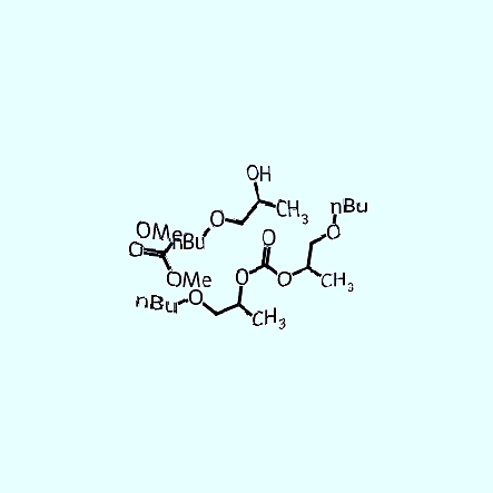 CCCCOCC(C)O.CCCCOCC(C)OC(=O)OC(C)COCCCC.COC(=O)OC